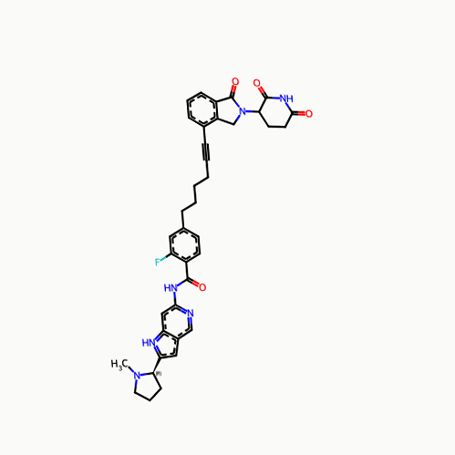 CN1CCC[C@@H]1c1cc2cnc(NC(=O)c3ccc(CCCCC#Cc4cccc5c4CN(C4CCC(=O)NC4=O)C5=O)cc3F)cc2[nH]1